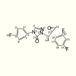 C[C@@H](n1ncn(-c2ccc(F)cc2)c1=O)[C@]1(c2ccc(F)cc2F)CO1